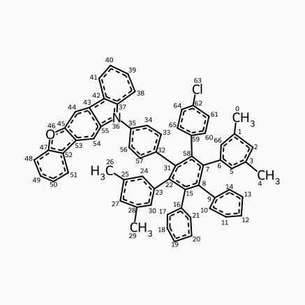 Cc1cc(C)cc(-c2c(-c3ccccc3)c(-c3ccccc3)c(-c3cc(C)cc(C)c3)c(-c3ccc(-n4c5ccccc5c5cc6oc7ccccc7c6cc54)cc3)c2-c2ccc(Cl)cc2)c1